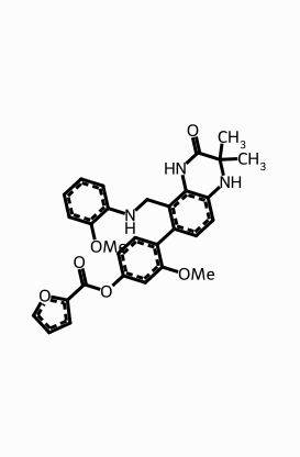 COc1ccccc1NCc1c(-c2ccc(OC(=O)c3ccco3)cc2OC)ccc2c1NC(=O)C(C)(C)N2